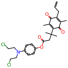 C=CCC1=C(C)C(=O)C(C(C)(C)CC(=O)Oc2ccc(N(CCCl)CCCl)cc2)=C(C)C1=O